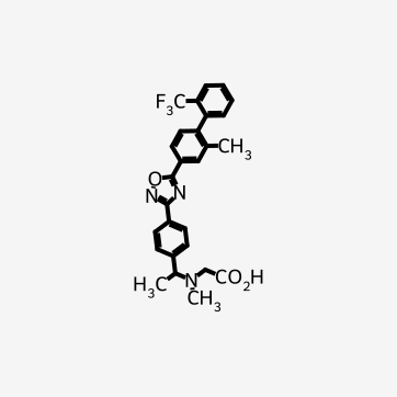 Cc1cc(-c2nc(-c3ccc(C(C)N(C)CC(=O)O)cc3)no2)ccc1-c1ccccc1C(F)(F)F